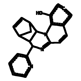 Oc1cccc2c1N1C(=NC(c3ccccn3)C3C4C=CC(C4)C31)C=C2